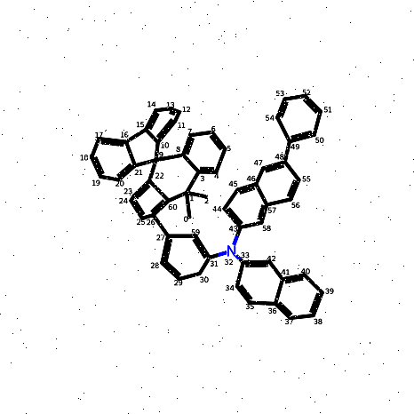 CC1(C)c2ccccc2C2(c3ccccc3-c3ccccc32)c2cccc(C3=C=CCC(N(c4ccc5ccccc5c4)c4ccc5cc(-c6ccccc6)ccc5c4)=C3)c21